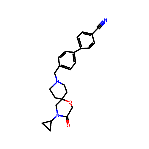 N#Cc1ccc(-c2ccc(CN3CCC4(CC3)CN(C3CC3)C(=O)CO4)cc2)cc1